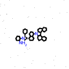 Nc1ccccc1N1C[C@@H](c2cccc3c(-n4c5ccc6ccccc6c5c5c6ccccc6ccc54)cccc23)C1c1ccccc1